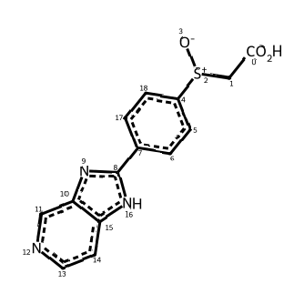 O=C(O)C[S+]([O-])c1ccc(-c2nc3cnccc3[nH]2)cc1